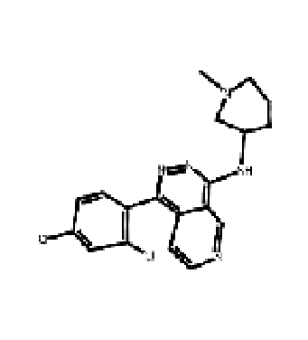 CN1CCCC(Nc2nnc(-c3ccc(Cl)cc3Cl)c3ccncc23)C1